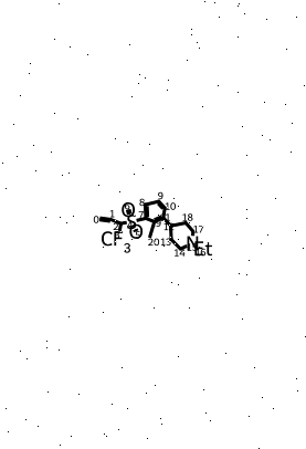 C=CC(C(F)(F)F)S(=O)(=O)c1cccc(C2CCN(CC)CC2)c1C